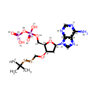 CCCC(C)(C)SSCO[C@@H]1C[C@H](n2cnc3c(N)ncnc32)O[C@@H]1COP(=O)(O)O[PH](=O)O